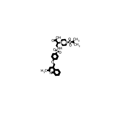 C=C(C)S(=O)(=O)N1CCN(C(CNS(=O)(=O)c2ccc(OCc3cc(C)nc4ccccc34)cc2)C(=O)O)CC1